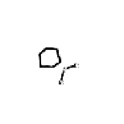 C1CCCCC1.CCSCC